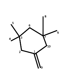 C=C1CC(C)(C)CC(C)(C)C1